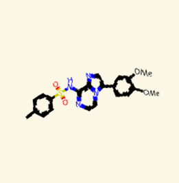 COc1ccc(-c2cnc3c(NS(=O)(=O)c4ccc(C)cc4)nccn23)cc1OC